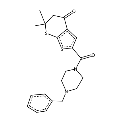 CC1(C)CC(=O)c2cc(C(=O)N3CCN(Cc4ccccc4)CC3)sc2S1